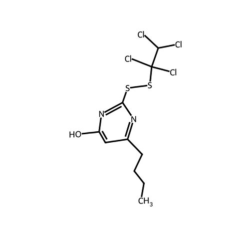 CCCCc1cc(O)nc(SSC(Cl)(Cl)C(Cl)Cl)n1